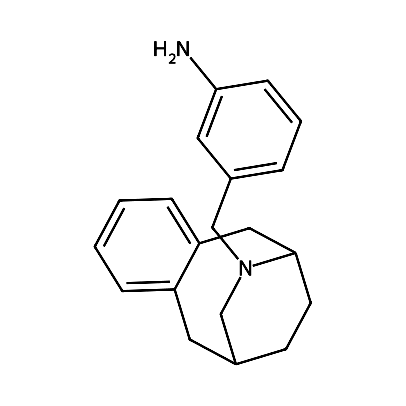 Nc1cccc(CN2CC3CCC2Cc2ccccc2C3)c1